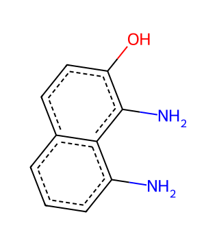 Nc1cccc2ccc(O)c(N)c12